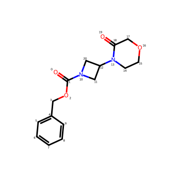 O=C(OCc1ccccc1)N1CC(N2CCOCC2=O)C1